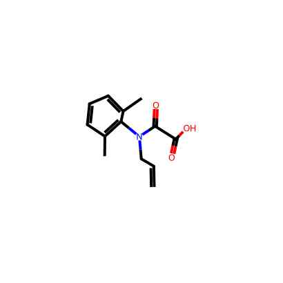 C=CCN(C(=O)C(=O)O)c1c(C)cccc1C